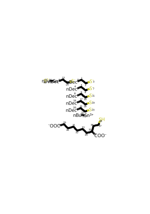 CCCCCCCCCCCC[S-].CCCCCCCCCCCC[S-].CCCCCCCCCCCC[S-].CCCCCCCCCCCC[S-].CCCCCCCCCCCC[S-].CCCCCCCCCCCC[S-].CCC[CH2][Sn+3].CCC[CH2][Sn+3].O=C([O-])CCCCCCC(CCS)C(=O)[O-].[S-2]